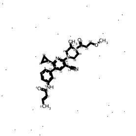 CC=CC(=O)Nc1cccc(-c2cc(C#N)c(N3CCN(C(=O)CCOC)C(C)C3)nc2C2CC2)c1